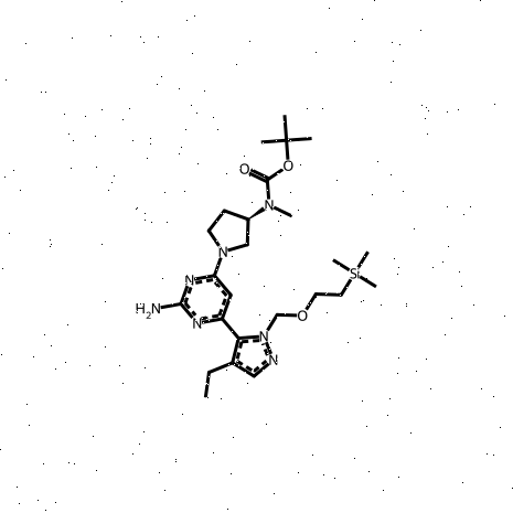 CCc1cnn(COCC[Si](C)(C)C)c1-c1cc(N2CC[C@@H](N(C)C(=O)OC(C)(C)C)C2)nc(N)n1